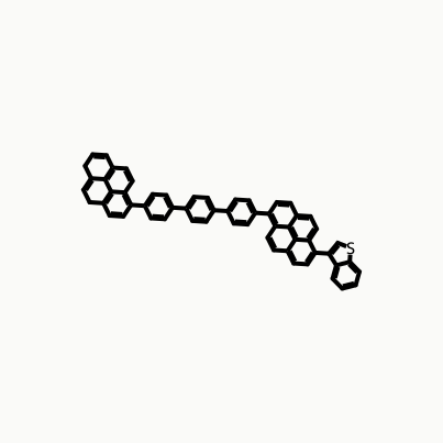 C1=Cc2ccc3c(-c4ccc(-c5ccc(-c6ccc(-c7ccc8ccc9c(-c%10csc%11ccccc%10%11)ccc%10ccc7c8c%109)cc6)cc5)cc4)ccc4c3c2C(=CC4)C1